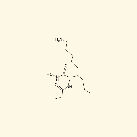 CCCC(CCCCCN)[C](NC(=O)CC)C(=O)NO